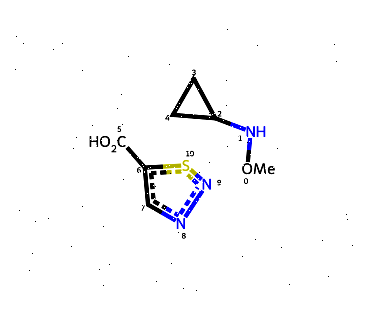 CONC1CC1.O=C(O)c1cnns1